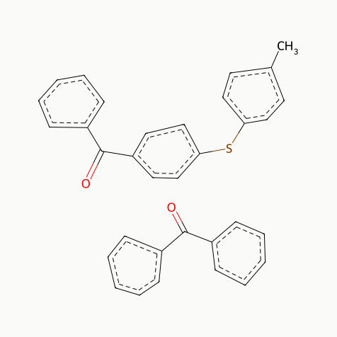 Cc1ccc(Sc2ccc(C(=O)c3ccccc3)cc2)cc1.O=C(c1ccccc1)c1ccccc1